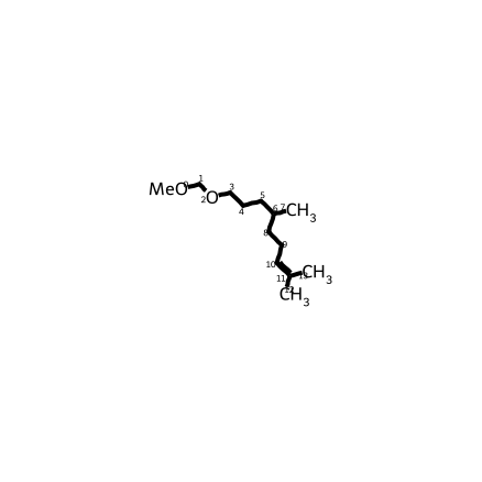 COCOCCCC(C)CCC=C(C)C